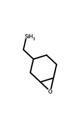 [SiH3]CC1CCC2OC2C1